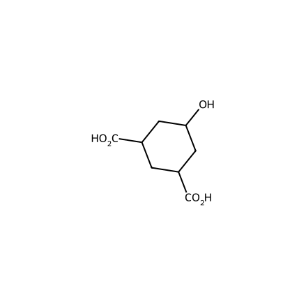 O=C(O)C1CC(O)CC(C(=O)O)C1